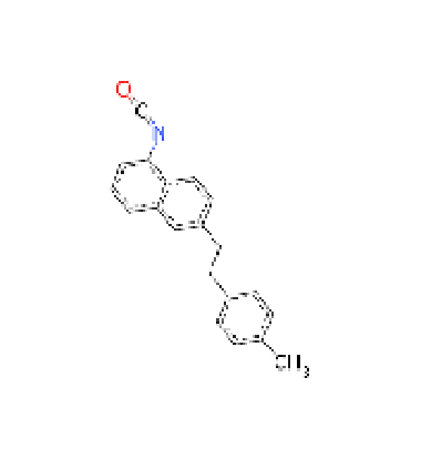 Cc1ccc(CCc2ccc3c(N=C=O)cccc3c2)cc1